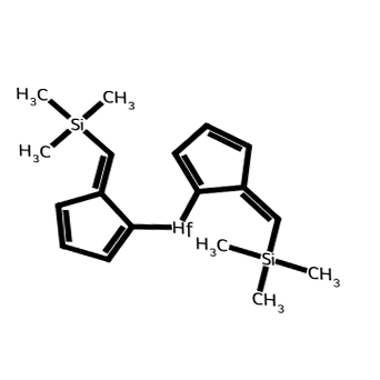 C[Si](C)(C)C=C1C=CC=[C]1[Hf][C]1=CC=CC1=C[Si](C)(C)C